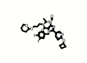 CCN(CCCOC1CCCCO1)C(=O)c1c(NC=O)nc(-c2ccc(OC3CCC3)nc2)n1Cc1ccc(F)c(F)c1